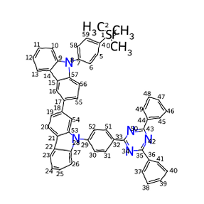 C[Si](C)(C)c1ccc(-n2c3ccccc3c3cc(-c4ccc5c6ccccc6n(-c6ccc(-c7nc(-c8ccccc8)nc(-c8ccccc8)n7)cc6)c5c4)ccc32)cc1